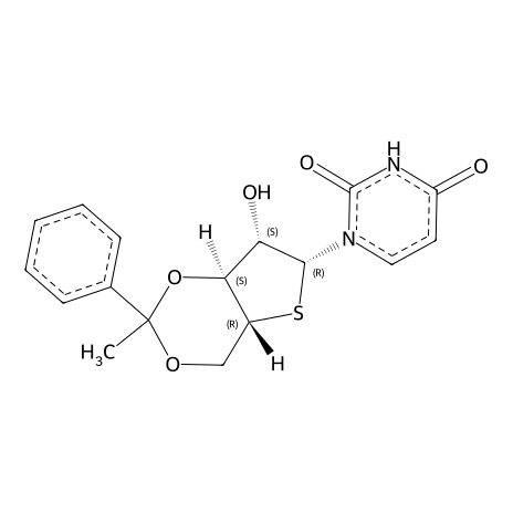 CC1(c2ccccc2)OC[C@H]2S[C@@H](n3ccc(=O)[nH]c3=O)[C@@H](O)[C@@H]2O1